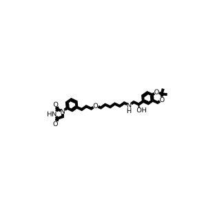 CC1(C)OCc2cc([C@@H](O)CNCCCCCCOCCCc3cccc(N4CC(=O)NC4=O)c3)ccc2O1